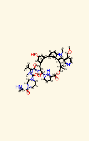 CCn1c(-c2cnccc2COC)c2c3cc(ccc31)-c1cc(O)cc(c1)C[C@H](NC(=O)C(C(C)C)N(C)C(=O)N1CCCN(C(=O)[C@@H]3CN3)CC1)C(=O)N1CCC[C@H](N1)C(=O)OCC(C)(C)C2